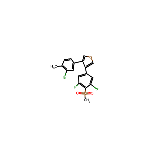 Cc1ccc(-c2cscc2-c2cc(F)c(S(C)(=O)=O)c(F)c2)cc1Br